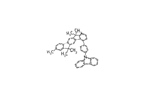 Cc1ccc2c(c1)C(C)(C)c1cc3c(cc1-2)C(C)(C)c1cccc(-c2ccc(-n4c5ccccc5c5ccccc54)cc2)c1-3